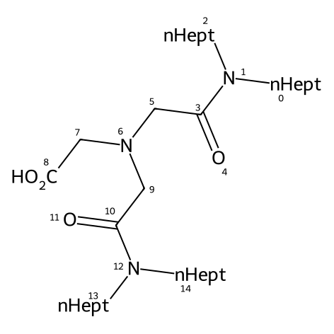 CCCCCCCN(CCCCCCC)C(=O)CN(CC(=O)O)CC(=O)N(CCCCCCC)CCCCCCC